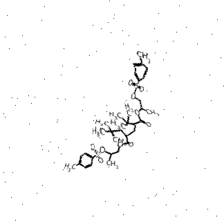 Cc1ccc(S(=O)(=O)OCC(C)OC(=O)C(CC(CC(C)(C)C)C(=O)OCC(C)OS(=O)(=O)c2ccc(C)cc2)C(C)(C)C)cc1